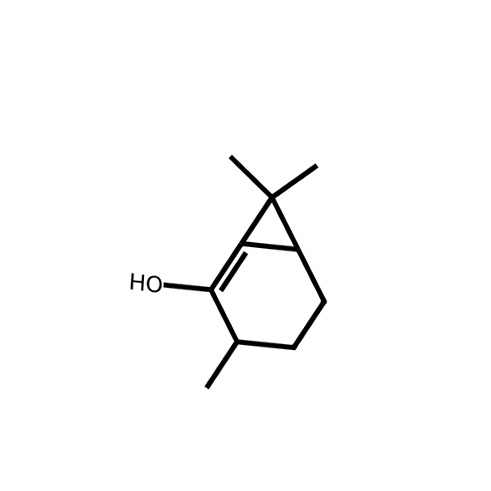 CC1CCC2C(=C1O)C2(C)C